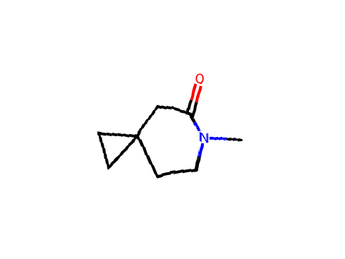 CN1CCC2(CC2)CC1=O